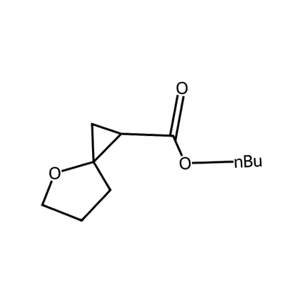 CCCCOC(=O)C1CC12CCCO2